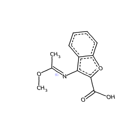 CO/C(C)=N/c1c(C(=O)O)oc2ccccc12